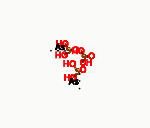 O=S(O)O.O=S(O)O.O=S(O)O.[As].[As]